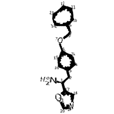 N[C@@H](Cc1ccc(OCc2ccccc2)cc1)c1cnco1